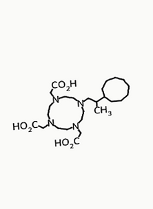 CC(CN1CCN(CC(=O)O)CCN(CC(=O)O)CCN(CC(=O)O)CC1)C1CCCCCCCC1